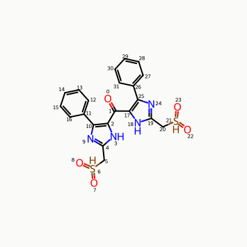 O=C(c1[nH]c(C[SH](=O)=O)nc1-c1ccccc1)c1[nH]c(C[SH](=O)=O)nc1-c1ccccc1